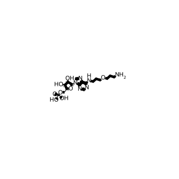 NCCCOCCCNc1ncnc2c1ncn2[C@@H]1O[C@H](COP(=O)(O)O)[C@@H](O)[C@H]1O